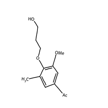 COc1cc(C(C)=O)cc(C)c1OCCCO